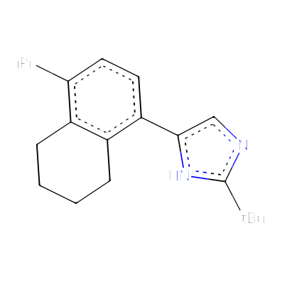 CC(C)c1ccc(-c2cnc(C(C)(C)C)[nH]2)c2c1CCCC2